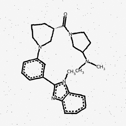 CN(C)C1CCN(C(=O)[C@H]2CCCN(c3cccc(-c4nc5ccccc5n4C)c3)C2)C1